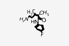 C=C(CCN)[C@H](C)C(=O)Nc1ccc(F)cc1